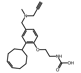 C#CCN(C)Cc1ccc(OCCNC(=O)O)c(C2CCC=CCCC2)c1